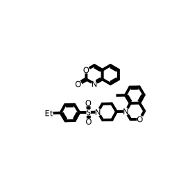 CCc1ccc(S(=O)(=O)N2CCC(N3COCc4cccc(C)c43)CC2)cc1.O=c1nc2ccccc2co1